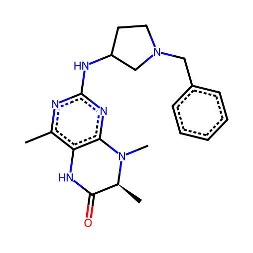 Cc1nc(NC2CCN(Cc3ccccc3)C2)nc2c1NC(=O)[C@H](C)N2C